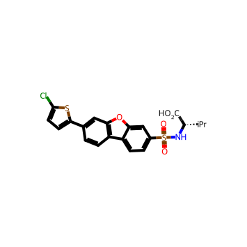 CC(C)[C@H](NS(=O)(=O)c1ccc2c(c1)oc1cc(-c3ccc(Cl)s3)ccc12)C(=O)O